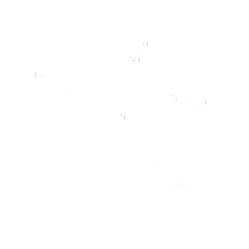 CCCCCCCCCCCSCCCC(CCCSCCCCCCCCCCC)N(CCCNC(=O)O)CCCNC(=O)O